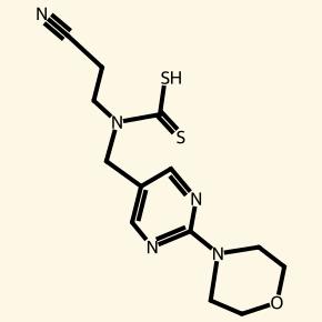 N#CCCN(Cc1cnc(N2CCOCC2)nc1)C(=S)S